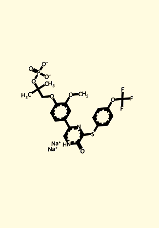 COc1cc(-c2c[nH]c(=O)c(Sc3ccc(OC(F)(F)F)cc3)n2)ccc1OCC(C)(C)OP(=O)([O-])[O-].[Na+].[Na+]